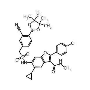 CNC(=O)c1c(-c2ccc(Cl)cc2)oc2cc(NS(=O)(=O)Cc3ccc(B4OC(C)(C)C(C)(C)O4)c(C#N)c3)c(C3CC3)cc12